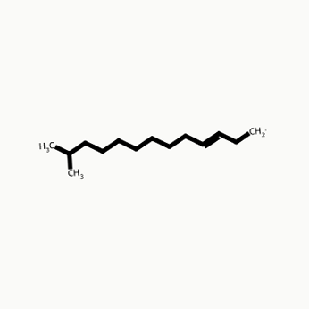 [CH2]CC=CCCCCCCC[C](C)C